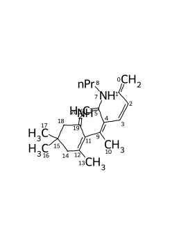 C=C/C=C\C(C(=C)NCCC)=C(/C)C1=C(C)CC(C)(C)CC1=N